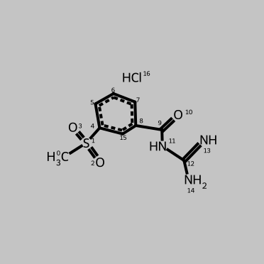 CS(=O)(=O)c1cccc(C(=O)NC(=N)N)c1.Cl